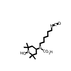 CC1(C)CC(N(CCCCCCN=C=O)C(=O)O)CC(C)(C)N1O